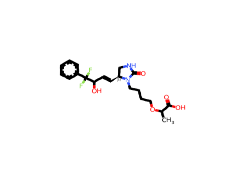 CC(OCCCCN1C(=O)NC[C@@H]1C=CC(O)C(F)(F)c1ccccc1)C(=O)O